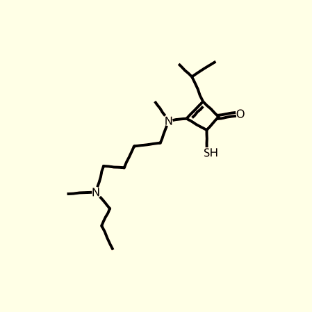 CCCN(C)CCCCN(C)C1=C(C(C)C)C(=O)C1S